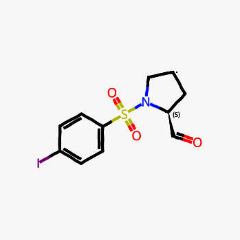 O=C[C@@H]1C[CH]CN1S(=O)(=O)c1ccc(I)cc1